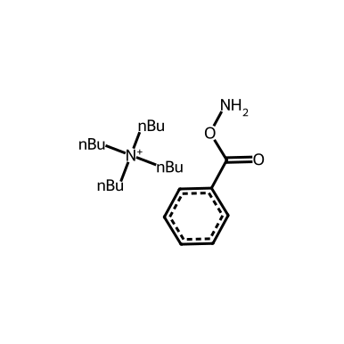 CCCC[N+](CCCC)(CCCC)CCCC.NOC(=O)c1ccccc1